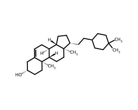 CC1(C)CCC(CC[C@H]2CC[C@H]3[C@@H]4CC=C5C[C@@H](O)CC[C@]5(C)[C@H]4CC[C@]23C)CC1